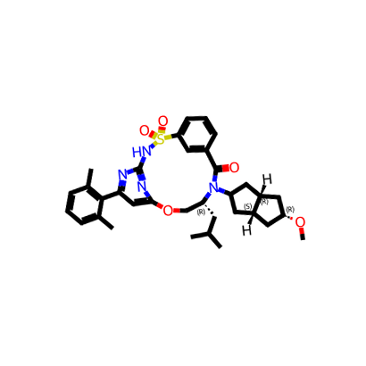 CO[C@H]1C[C@H]2CC(N3C(=O)c4cccc(c4)S(=O)(=O)Nc4nc(cc(-c5c(C)cccc5C)n4)OC[C@H]3CC(C)C)C[C@H]2C1